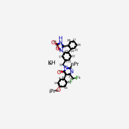 CCCc1nc(C(F)F)c(-c2ccc(OC(C)C)cc2)c(=O)n1Cc1ccc(-c2ccccc2-c2noc(=O)[nH]2)cc1.[KH]